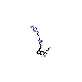 CNC1CCN(CCCOCCNCCC#Cc2cccc(C)c2CN(C=O)C(C)CCC=O)CC1